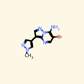 Cn1cc(-c2cnn3c(N)c(Br)cnc23)cn1